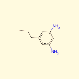 [CH2]CCc1cc(N)cc(N)c1